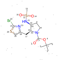 CC(C)(C)OC(=O)N1CC[C@H](NS(C)(=O)=O)[C@@H]1Cc1csc(Br)n1